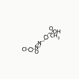 C/C(=C\c1ccc(CCN2CCN(C(=O)c3ccc(Cl)cc3)CC2)cc1)C(=O)O